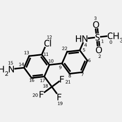 CS(=O)(=O)Nc1cccc(-c2c(Cl)cc(N)cc2C(F)(F)F)c1